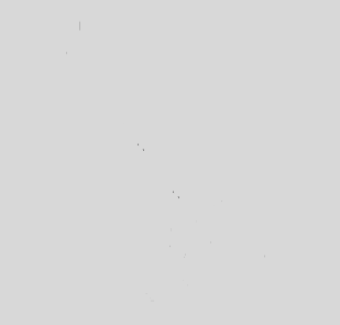 CCOc1ccc(N2CCN(S(=O)(=O)C3(C(=O)OC(C)(C)C)CCOCC3)CC2)cc1